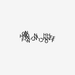 CN(C)S(=O)(=O)Nc1nc(-c2ccn3c(-c4cccc(NC(=O)NCC(F)(F)F)c4)cnc3c2)ncc1F